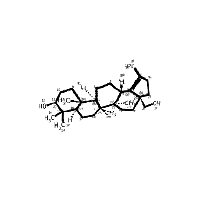 CC(C)C1=C2[C@H]3CC[C@@H]4[C@@]5(C)CC[C@H](O)C(C)(C)[C@@H]5CC[C@@]4(C)[C@]3(C)CC[C@@]2(CO)CC1